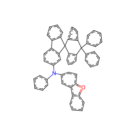 c1ccc(N(c2ccc3c(c2)C2(c4ccccc4-3)c3ccccc3C(c3ccccc3)(c3ccccc3)c3ccccc32)c2ccc3oc4ccccc4c3c2)cc1